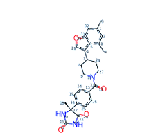 Cc1cc(C)c2c(C3CCN(C(=O)c4ccc([C@@]5(C)NC(=O)NC5=O)cc4)CC3)coc2c1